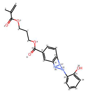 C=C(C)C(=O)OCCCOC(=O)c1ccc2c(c1)n1n(-c3ccccc3O)n21